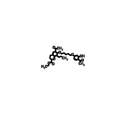 CCCc1c2c(cc(C(C)=O)c1OCCCCCOc1ccc(C(C)=O)c(O)c1)CCC(C(=O)OCC)O2